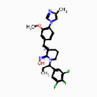 CCC(c1cc(F)c(F)c(F)c1)N1CCCC(=C\c2ccc(-n3cnc(C)c3)c(OC)c2)/C1=N/O